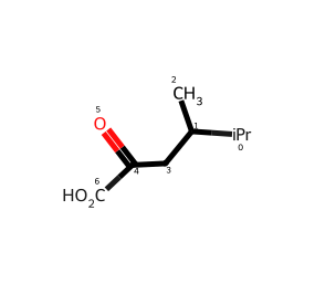 CC(C)C(C)CC(=O)C(=O)O